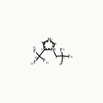 FC(F)(F)Cn1[c]n[c]c1C(F)(F)F